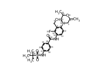 CCc1c(N2CC(C)OC(C)C2)ccc(NC(=O)c2ccc(NS(=O)(=O)C(C)(C)C)cc2)c1F